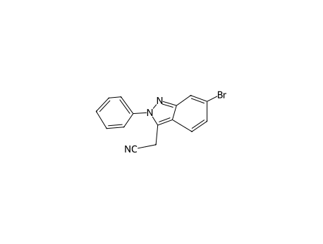 N#CCc1c2ccc(Br)cc2nn1-c1ccccc1